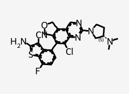 CN(C)[C@H]1CCN(c2ncc3c4c(c(-c5ccc(F)c6sc(N)c(C#N)c56)c(Cl)c3n2)COC4)C1